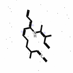 C=C=CC(C)CC/C=C\C(=C/C=C)N/C(C)=C(/C)C=C